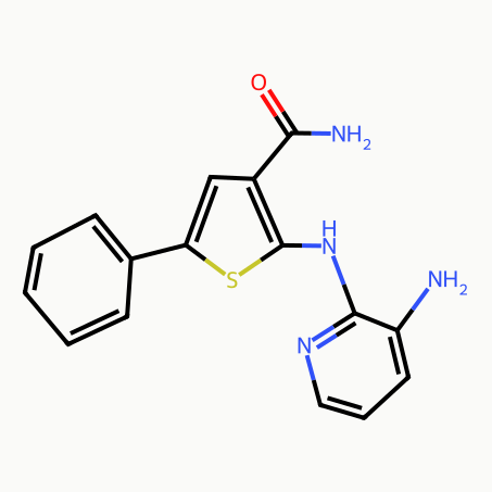 NC(=O)c1cc(-c2ccccc2)sc1Nc1ncccc1N